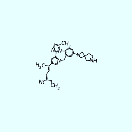 C=C/C(C#N)=C\C=C(/C)c1cc2n(c1)Cc1cc(N3CC4(CCNC4)C3)ccc1-n1c(C)cnc1-2